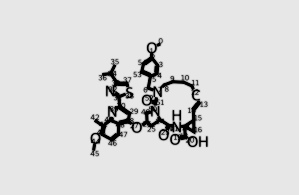 COc1ccc(CN2CCCCC/C=C/C3CC3(C(=O)O)NC(=O)C3CC(Oc4cc(-c5nc(C(C)C)cs5)nc5c(C)c(OC)ccc45)CN3C2=O)cc1